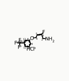 Cl.NC/C(F)=C\COc1cccc(C(F)(F)F)c1